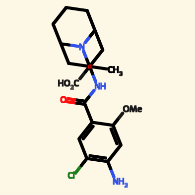 COc1cc(N)c(Cl)cc1C(=O)NC1CC2CCCC(C1)N2C(C)C(=O)O